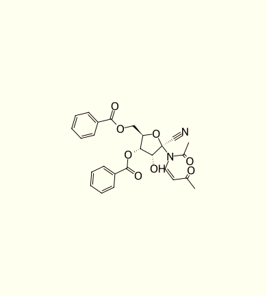 CC(=O)/C=C\N(C(C)=O)[C@]1(C#N)O[C@H](COC(=O)c2ccccc2)[C@@H](OC(=O)c2ccccc2)[C@H]1O